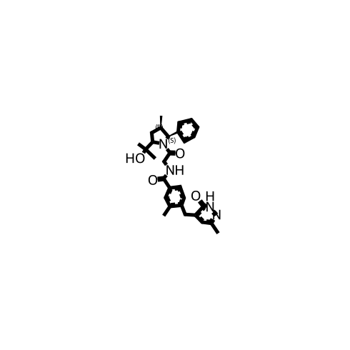 Cc1cc(Cc2ccc(C(=O)NCC(=O)N3C(C(C)(C)O)C[C@@H](C)[C@H]3c3ccccc3)cc2C)c(=O)[nH]n1